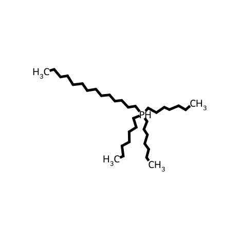 CCCCCCCCCCCCCC[PH](CCCCCCC)(CCCCCCC)CCCCCCC